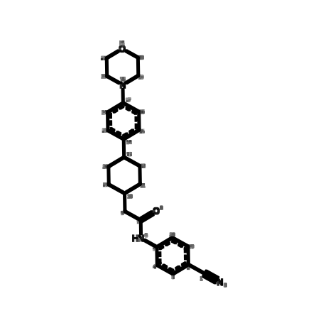 N#Cc1ccc(NC(=O)CC2CCC(c3ccc(N4CCOCC4)cc3)CC2)cc1